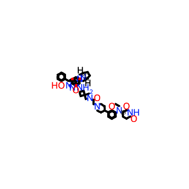 Nc1nnc(-c2ccccc2O)cc1N1C[C@H]2CC[C@@H](C1)N2c1cccc(OC2CC3(C2)CN(C(=O)CN2CCC(c4cccc5c4OCCN5[C@H]4CCC(=O)NC4=O)CC2)C3)c1